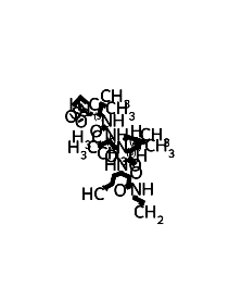 C#CCCC(NC(=O)[C@@H]1[C@@H]2[C@H](CN1C(=O)[C@@H](NC(=O)N[C@H](CN1CCCS1(=O)=O)C(C)(C)C)C(C)(C)C)C2(C)C)C(=O)C(=O)NCC=C